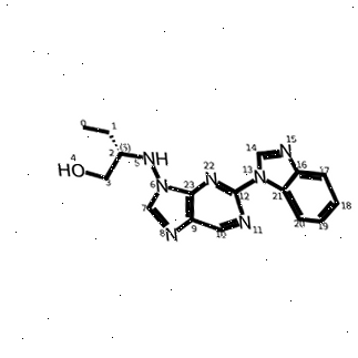 CC[C@@H](CO)Nn1cnc2cnc(-n3cnc4ccccc43)nc21